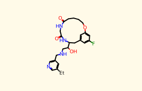 CCc1cncc(CNCC(O)C2Cc3cc(F)cc(c3)OCCCCC(=O)NCC(=O)N2)c1